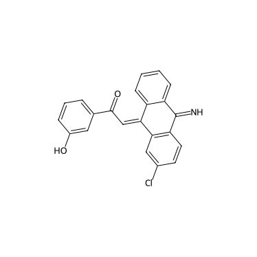 N=C1c2ccccc2/C(=C\C(=O)c2cccc(O)c2)c2cc(Cl)ccc21